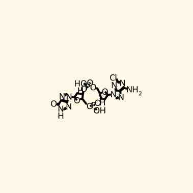 Nc1nc(Cl)nc2c1ncn2C1C[C@@H]2OP(O)OCC3OC(n4cnc5c(=O)[nH]cnc54)C[C@@H]3OP(=O)(O)OCC2O1